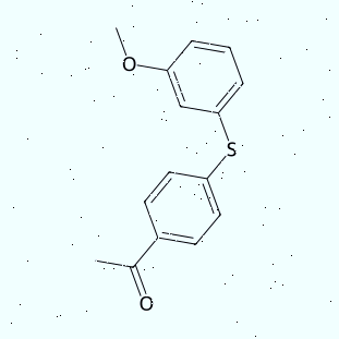 COc1cccc(Sc2ccc(C(C)=O)cc2)c1